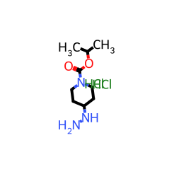 CC(C)OC(=O)N1CCC(NN)CC1.Cl.Cl